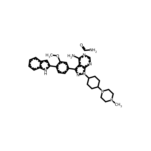 COc1cc(-c2nn(C3CCC(N4CCN(C)CC4)CC3)c3ncnc(N)c23)ccc1-c1cc2ccccc2[nH]1.NC=O